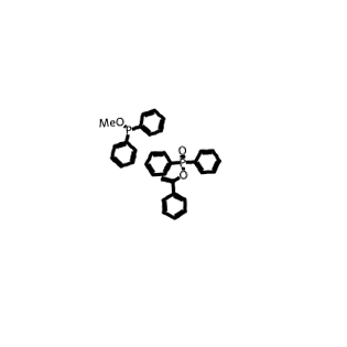 C=C(OP(=O)(c1ccccc1)c1ccccc1)c1ccccc1.COP(c1ccccc1)c1ccccc1